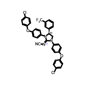 N#C/N=C1/N(c2ccc(Oc3ccc(Cl)cc3)cc2)C[C@H](c2cccc(C(F)(F)F)c2)N1c1ccc(Oc2ccc(Cl)cc2)cc1